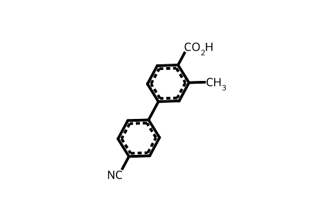 Cc1cc(-c2ccc(C#N)cc2)ccc1C(=O)O